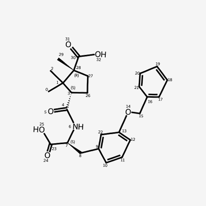 CC1(C)[C@@H](C(=O)N[C@@H](Cc2cccc(OCc3ccccc3)c2)C(=O)O)CC[C@@]1(C)C(=O)O